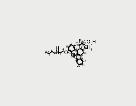 Cc1c(OCCNCCCF)ccc(F)c1C1c2[nH]c3ccccc3c2C[C@@H](C)N1CC(F)(F)C(=O)O